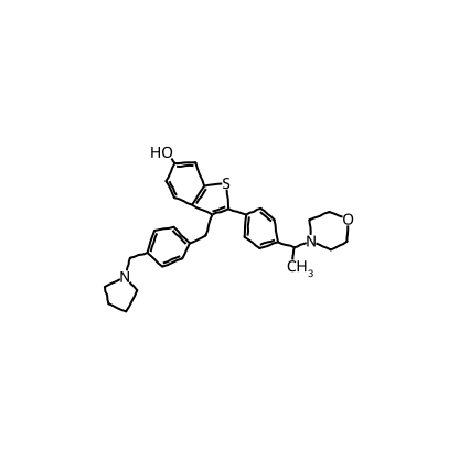 CC(c1ccc(-c2sc3cc(O)ccc3c2Cc2ccc(CN3CCCC3)cc2)cc1)N1CCOCC1